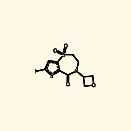 O=C1c2sc(I)cc2S(=O)(=O)CCN1C1COC1